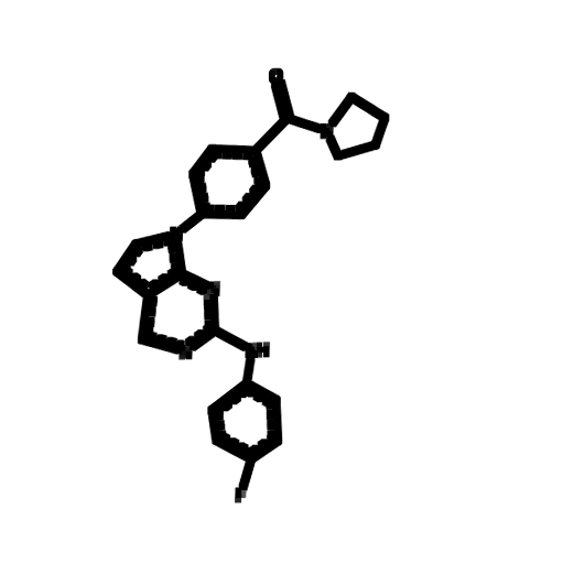 O=C(c1ccc(-n2ccc3cnc(Nc4ccc(F)cc4)nc32)cc1)N1CCCC1